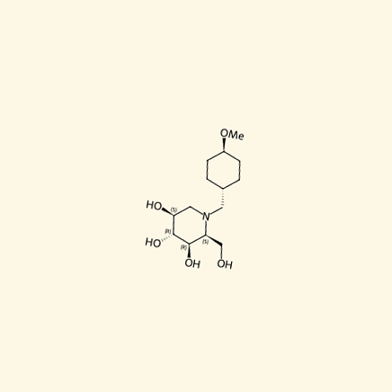 CO[C@H]1CC[C@H](CN2C[C@H](O)[C@@H](O)[C@H](O)[C@@H]2CO)CC1